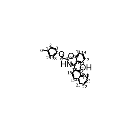 Cc1ccc(OCC(=O)NC(c2ccccc2)c2ccc3cccnc3c2O)cc1